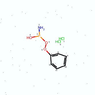 Cl.Cl.NP(O)OOc1ccccc1